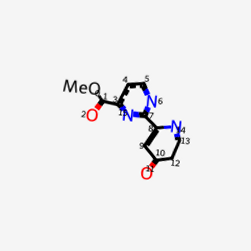 COC(=O)c1ccnc(C2=CC(=O)CC=N2)n1